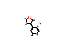 Fc1ccccc1C1CCOC1